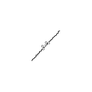 CCCCCCCCCCCCOC(=O)CSCC(=O)OCCCCCCCCCCCC